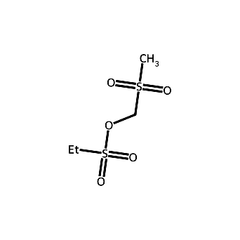 CCS(=O)(=O)OCS(C)(=O)=O